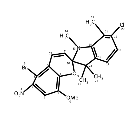 COc1cc([N+](=O)[O-])c(Br)c2c1OC1(C=C2)N(C)c2c(ccc(Cl)c2C)C1(C)C